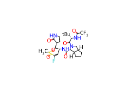 CC(C)(C)[C@H](NC(=O)C(F)(F)F)C(=O)N1C[C@@H]2CCC[C@@H]2[C@@H]1C(=O)N[C@@H](/C=C(/F)S(C)(=O)=O)C[C@@H]1CCNC1=O